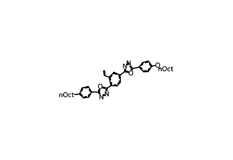 C=Cc1cc(-c2nnc(-c3ccc(OCCCCCCCC)cc3)o2)ccc1-c1nnc(-c2ccc(CCCCCCCC)cc2)o1